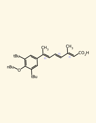 CCCCOc1c(C(C)(C)C)cc(/C(C)=C/C=C/C(C)=C/C(=O)O)cc1C(C)(C)C